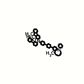 C=C1/C=C\C=C/CN(c2ccccc2)c2ccc(-c3ccc(-c4ccc(N(c5ccc6c(c5)C(C)(C)c5ccccc5-6)c5cccc6c5oc5ccccc56)cc4)cc3)cc21